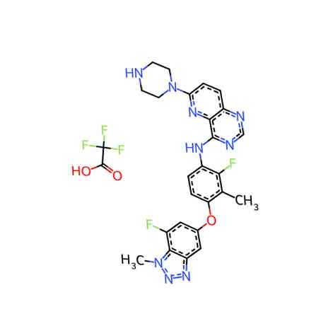 Cc1c(Oc2cc(F)c3c(c2)nnn3C)ccc(Nc2ncnc3ccc(N4CCNCC4)nc23)c1F.O=C(O)C(F)(F)F